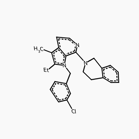 CCc1c(C)c2ccnc(N3CCc4ccccc4C3)c2n1Cc1cccc(Cl)c1